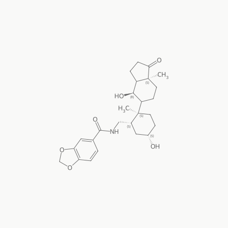 C[C@]12CCC([C@@]3(C)CC[C@H](O)C[C@@H]3CNC(=O)c3ccc4c(c3)OCO4)[C@@H](O)C1CCC2=O